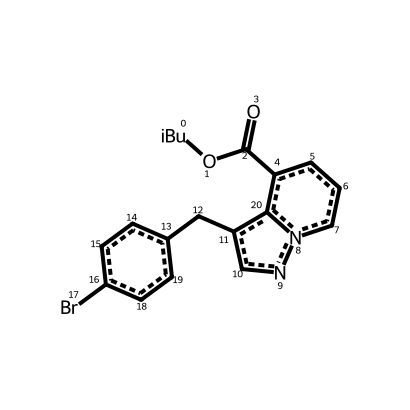 CCC(C)OC(=O)c1cccn2ncc(Cc3ccc(Br)cc3)c12